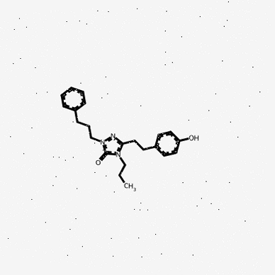 CCCn1c(CCc2ccc(O)cc2)nn(CCCc2ccccc2)c1=O